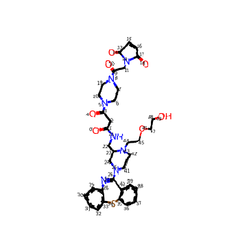 O=C(CC(=O)N1CCN(C(=O)CN2C(=O)C=CC2=O)CC1)NCC1CN(C2=Nc3ccccc3Sc3ccccc32)CCN1CCOCCO